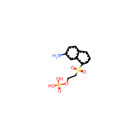 Nc1ccc2cccc(S(=O)(=O)CCOP(=O)(O)O)c2c1